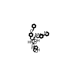 CNN(Cc1ccc(-c2ccccn2)cc1)C[C@H](O)[C@H](Cc1ccc(OCc2ccccc2)cc1)NC(=O)O[C@H]1CC[C@H]2OCC[C@@H]12